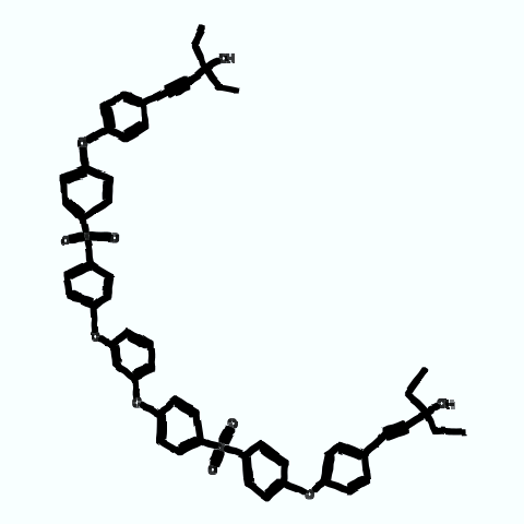 CCC(O)(C#Cc1ccc(Oc2ccc(S(=O)(=O)c3ccc(Oc4cccc(Oc5ccc(S(=O)(=O)c6ccc(Oc7ccc(C#CC(O)(CC)CC)cc7)cc6)cc5)c4)cc3)cc2)cc1)CC